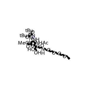 C#CCOCCOCCOCCOCCNC(=O)CO[C@@H]([C@@H]1OC(C(=O)OC)=C[C@H](N/C(=N/C(=O)OC(C)(C)C)NC(=O)OC(C)(C)C)[C@H]1NC(C)=O)[C@H](O)CO